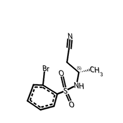 C[C@@H](CC#N)NS(=O)(=O)c1ccccc1Br